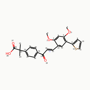 COc1cc(OC)c(-c2cccs2)cc1/C=C/C(=O)c1ccc(C(C)(C)C(=O)O)cc1